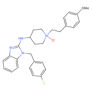 COc1ccc(CC[N+]2([O-])CCC(Nc3nc4ccccc4n3Cc3ccc(F)cc3)CC2)cc1